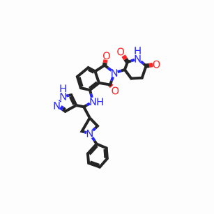 O=C1CCC(N2C(=O)c3cccc(NC(c4cn[nH]c4)C4CN(c5ccccc5)C4)c3C2=O)C(=O)N1